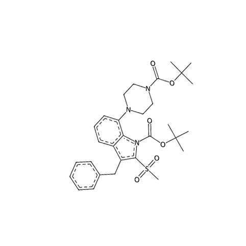 CC(C)(C)OC(=O)N1CCN(c2cccc3c(Cc4ccccc4)c(S(C)(=O)=O)n(C(=O)OC(C)(C)C)c23)CC1